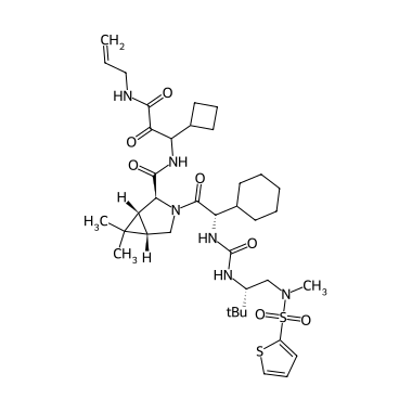 C=CCNC(=O)C(=O)C(NC(=O)[C@@H]1[C@@H]2[C@H](CN1C(=O)[C@@H](NC(=O)N[C@H](CN(C)S(=O)(=O)c1cccs1)C(C)(C)C)C1CCCCC1)C2(C)C)C1CCC1